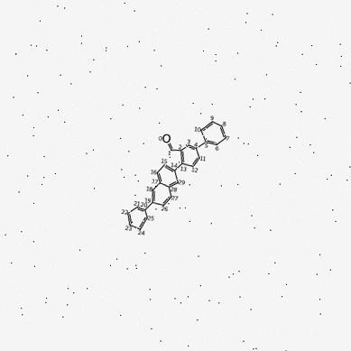 O=Cc1cc(-c2ccccc2)ccc1-c1ccc2cc(-c3ccccc3)ccc2c1